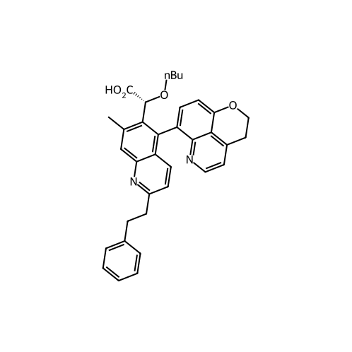 CCCCO[C@@H](C(=O)O)c1c(C)cc2nc(CCc3ccccc3)ccc2c1-c1ccc2c3c(ccnc13)CCO2